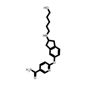 NC(=O)c1ccc(Oc2ccc3c(c2)CC(NCCCCCO)C3)nc1